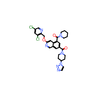 O=C(c1cc(C(=O)N2CCCCC2)c2cc(OCc3ncc(Cl)cc3Cl)ncc2c1)N1CCC(n2ccnn2)CC1